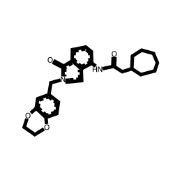 O=C(CC1CCCCCC1)Nc1cccc2c(=O)n(Cc3ccc4c(c3)OCCO4)ccc12